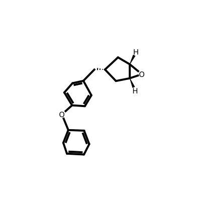 c1ccc(Oc2ccc(C[C@@H]3C[C@@H]4O[C@@H]4C3)cc2)cc1